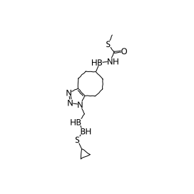 CSC(=O)NBC1CCCc2c(nnn2CBBSC2CC2)CC1